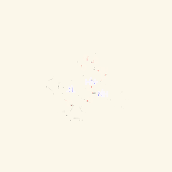 CCOP(=O)(OCC)C(O)[C@H](CC1CCN(C(C=O)c2ccccc2)C1)NC(=O)[C@H](CC1CCCCC1)NC(=O)OCc1cccc(Cl)c1